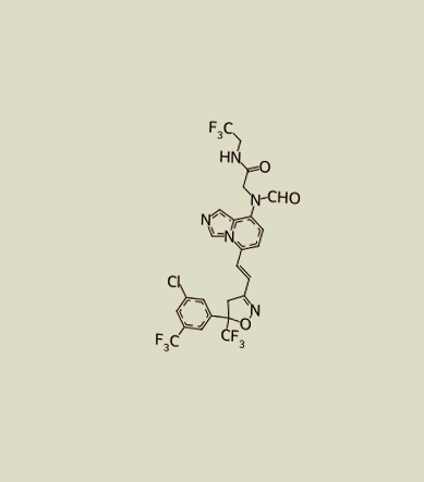 O=CN(CC(=O)NCC(F)(F)F)c1ccc(/C=C/C2=NOC(c3cc(Cl)cc(C(F)(F)F)c3)(C(F)(F)F)C2)n2cncc12